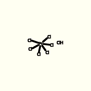 Cl.[Cl][Pt]([Cl])([Cl])([Cl])([Cl])[Cl]